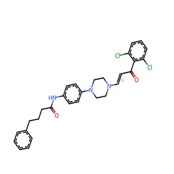 O=C(CCCc1ccccc1)Nc1ccc(N2CCN(/C=C/C(=O)c3c(Cl)cccc3Cl)CC2)cc1